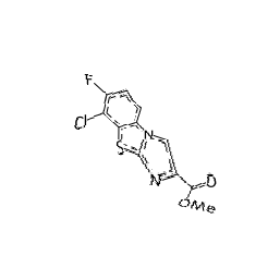 COC(=O)c1cn2c(n1)sc1c(Cl)c(F)ccc12